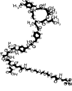 COc1ccc(C[C@H]2NC(=O)/C=C/C[C@@H]([C@H](C)[C@H]3O[C@@H]3c3ccc(CNC(=O)OCc4ccc(NC(=O)[C@H](C)NC(=O)[C@@H](NC(=O)CCN(CCC(=O)O)C(=O)CCC(=O)NCCOCCOCCOCCOCCC(=O)NCCS(=O)(=O)O)C(C)C)cc4)cc3)OC(=O)[C@H](CC(C)C)OC(=O)C(C)(C)CNC2=O)cc1Cl